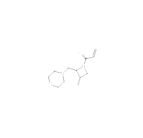 C=CC(=O)N1CC(C)C1CN1CCOCC1